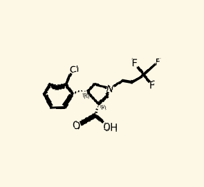 O=C(O)[C@H]1CN(CCC(F)(F)F)C[C@H]1c1ccccc1Cl